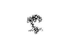 CCCc1c(OCCCCN2C(=O)NC(C)(c3ccc(OC4CCCCO4)cc3)C2=O)ccc2c(C(F)(F)F)cc(=O)oc12